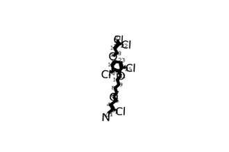 N#C/C(Cl)=C/COCCCCOc1c(Cl)cc(OCC=C(Cl)Cl)cc1Cl